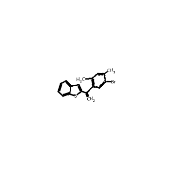 C=C(c1cc2ccccc2s1)c1cc(Br)c(C)cc1C